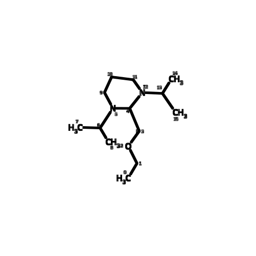 CCO[C][C]1N(C(C)C)CCCN1C(C)C